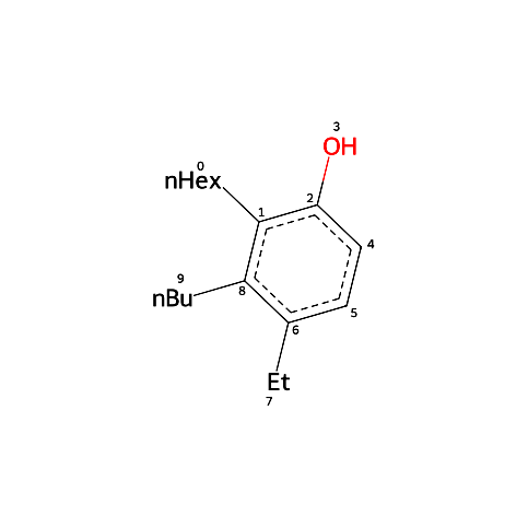 CCCCCCc1c(O)ccc(CC)c1CCCC